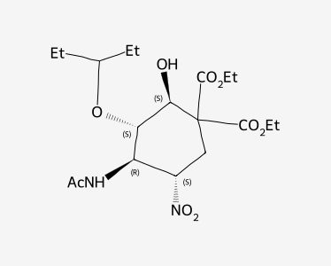 CCOC(=O)C1(C(=O)OCC)C[C@H]([N+](=O)[O-])[C@@H](NC(C)=O)[C@H](OC(CC)CC)[C@H]1O